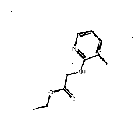 CCOC(=O)CNc1ncccc1C